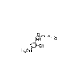 COc1ccc(-c2coc(CCCCC=O)n2)c(O)c1